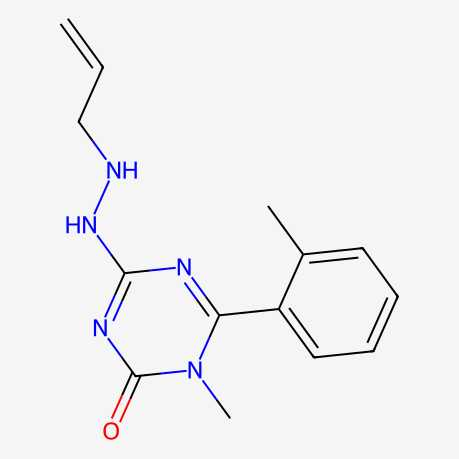 C=CCNNc1nc(-c2ccccc2C)n(C)c(=O)n1